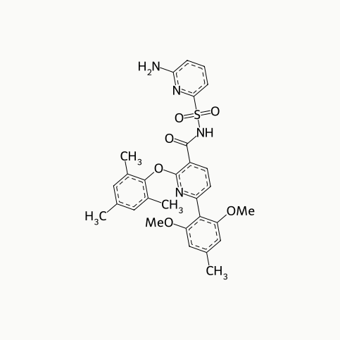 COc1cc(C)cc(OC)c1-c1ccc(C(=O)NS(=O)(=O)c2cccc(N)n2)c(Oc2c(C)cc(C)cc2C)n1